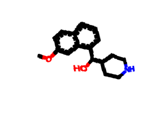 COc1ccc2cccc(C(O)C3CCNCC3)c2c1